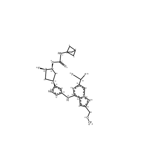 O=C(NC12CC(C1)C2)O[C@H]1C[C@@H](c2cc(Nc3nc(C(F)F)cn4nc(COC(F)(F)F)cc34)n[nH]2)C[C@H]1F